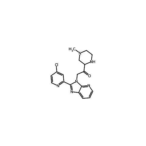 CN1CCNC(C(=O)Cn2c(-c3cc(Cl)ccn3)nc3cccnc32)C1